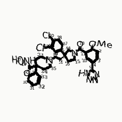 COc1ccc(-c2nnn[nH]2)cc1C(=O)N1CC[C@](CCN2CCC(C(=O)NO)(c3ccccc3)CC2)(c2ccc(Cl)c(Cl)c2)C1